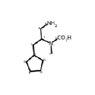 CN(C(=O)O)C(CN)CC1CCCC1